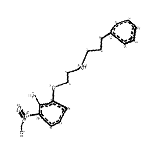 Nc1c(OCCNCCCc2ccccc2)cccc1[N+](=O)[O-]